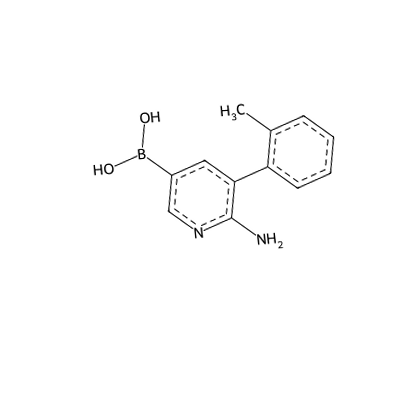 Cc1ccccc1-c1cc(B(O)O)cnc1N